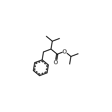 CC(C)OC(=O)C(Cc1ccccc1)C(C)C